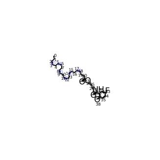 CC/C=C\C/C=C\C/C=C\C/C=C\C/C=C\C/C=C\CCC(=O)OCCCNC(=O)c1cc(F)ccc1OC